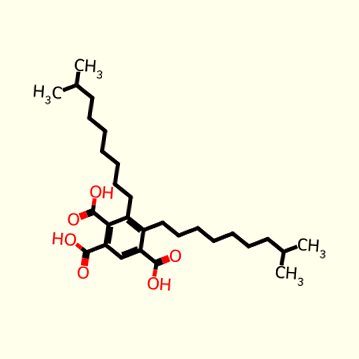 CC(C)CCCCCCCc1c(C(=O)O)cc(C(=O)O)c(C(=O)O)c1CCCCCCCC(C)C